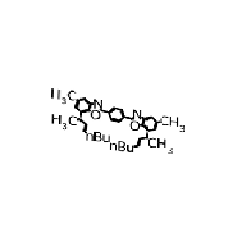 CCCCC=CC(C)c1cc(C)cc2nc(-c3ccc(-c4nc5cc(C)cc(C(C)C=CCCCC)c5o4)cc3)oc12